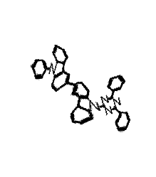 C1=CC2c3cc(-c4ccc5c(c4)C4C=CC=CC4N5c4nc(-c5ccccc5)nc(-c5ccccc5)n4)ccc3N(c3ccccc3)C2C=C1